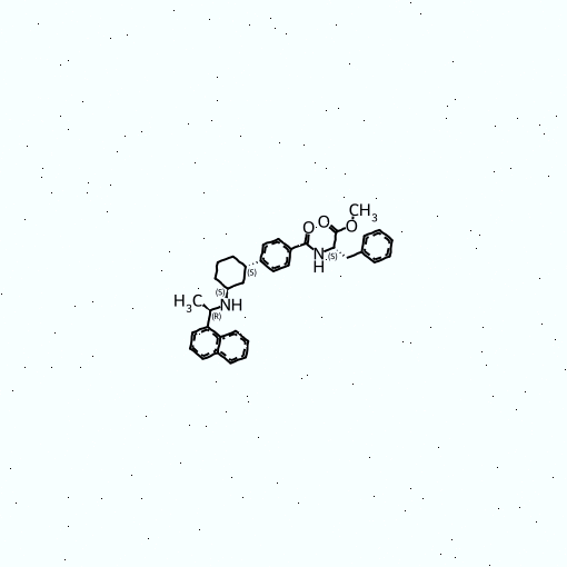 COC(=O)[C@H](Cc1ccccc1)NC(=O)c1ccc([C@H]2CCC[C@H](N[C@H](C)c3cccc4ccccc34)C2)cc1